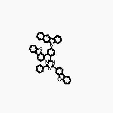 c1ccc(-c2nc(-c3ccc4c(c3)oc3ccccc34)nc(-c3ccc(-n4c5ccccc5c5cc6ccccc6cc54)cc3-c3cccc4c3sc3ccccc34)n2)cc1